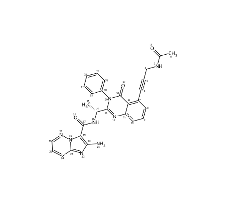 CC(=O)NCC#Cc1cccc2nc([C@@H](C)NC(=O)c3c(N)nc4cccnn34)n(-c3ccccc3)c(=O)c12